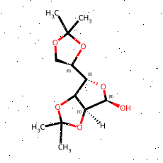 CC1(C)OC[C@H]([C@@H]2O[C@@H](O)[C@H]3OC(C)(C)OC23)O1